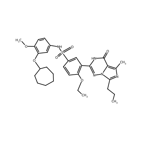 CCCc1nc(C)c2c(=O)[nH]c(-c3cc(S(=O)(=O)Nc4ccc(OC)c(OC5CCCCCC5)c4)ccc3OCC)nn12